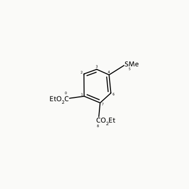 CCOC(=O)c1ccc(SC)cc1C(=O)OCC